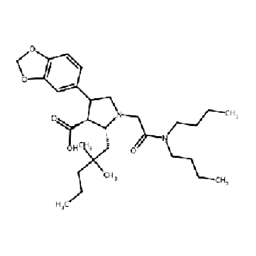 CCCCN(CCCC)C(=O)CN1CC(c2ccc3c(c2)OCO3)[C@H](C(=O)O)[C@H]1CC(C)(C)CCC